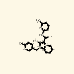 O=C(Nc1cccc(C(F)(F)F)n1)c1c(O)n(Cc2ccc(Cl)nc2)c2cccc[n+]12